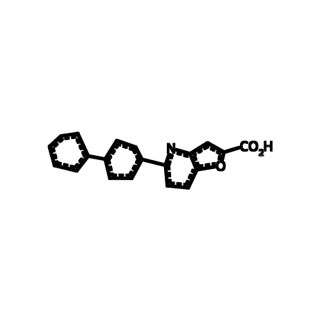 O=C(O)c1cc2nc(-c3ccc(-c4ccccc4)cc3)ccc2o1